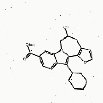 COC(=O)c1ccc2c(C3CCCCC3)c3n(c2c1)CC(O)Cc1ccsc1-3